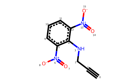 C#CCNc1c([N+](=O)[O-])cccc1[N+](=O)[O-]